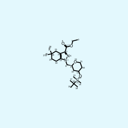 CCOC(=O)c1nn(C[C@@H]2CC(O[Si](C)(C)C(C)(C)C)CCO2)c2c1CC(F)(F)CC2